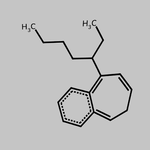 CCCCC(CC)C1=c2ccccc2=CCC=C1